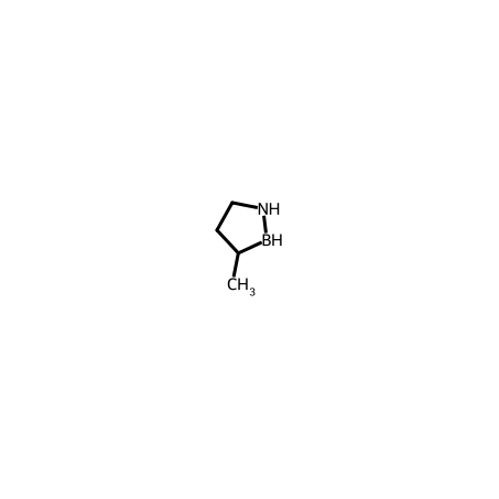 CC1BNCC1